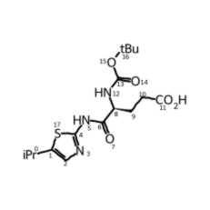 CC(C)c1cnc(NC(=O)[C@H](CCC(=O)O)NC(=O)OC(C)(C)C)s1